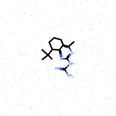 Cc1nc(NC(=N)N)nc2c1CCCC2C(C)(C)C